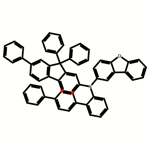 c1ccc(-c2ccc(-c3ccccc3N(c3ccc4c(c3)C(c3ccccc3)(c3ccccc3)c3cc(-c5ccccc5)ccc3-4)c3ccc4oc5ccccc5c4c3)cc2)cc1